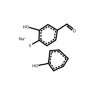 O=Cc1ccc([S-])c(O)c1.Oc1ccccc1.[Na+]